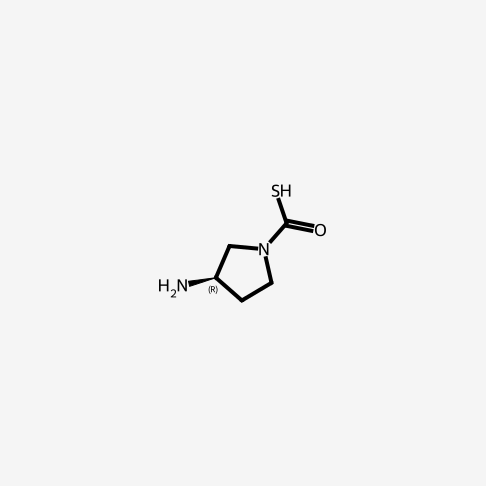 N[C@@H]1CCN(C(=O)S)C1